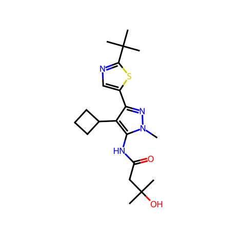 Cn1nc(-c2cnc(C(C)(C)C)s2)c(C2CCC2)c1NC(=O)CC(C)(C)O